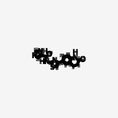 O=C1CCc2cc(-c3csc(NC(=O)c4cnc[nH]4)n3)ccc2N1